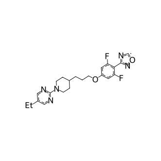 CCc1cnc(N2CCC(CCCOc3cc(F)c(-c4n[c]on4)c(F)c3)CC2)nc1